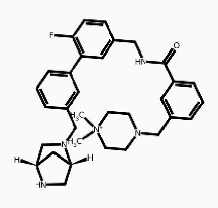 C[N+]1(C)CCN(Cc2cccc(C(=O)NCc3ccc(F)c(-c4cccc(CN5C[C@@H]6C[C@H]5CN6)c4)c3)c2)CC1